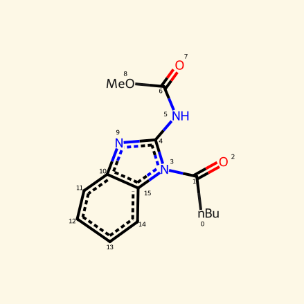 CCCCC(=O)n1c(NC(=O)OC)nc2ccccc21